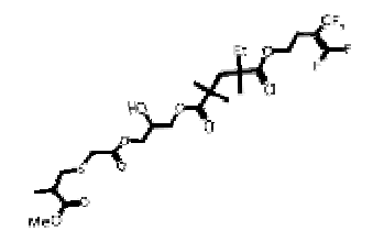 CCC(C)(CC(C)(C)C(=O)OCC(O)COC(=O)CSCC(C)C(=O)OC)C(=O)OCCC(=C(F)F)C(F)(F)F